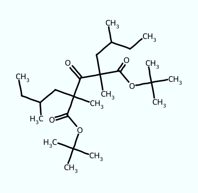 CCC(C)CC(C)(C(=O)OC(C)(C)C)C(=O)C(C)(CC(C)CC)C(=O)OC(C)(C)C